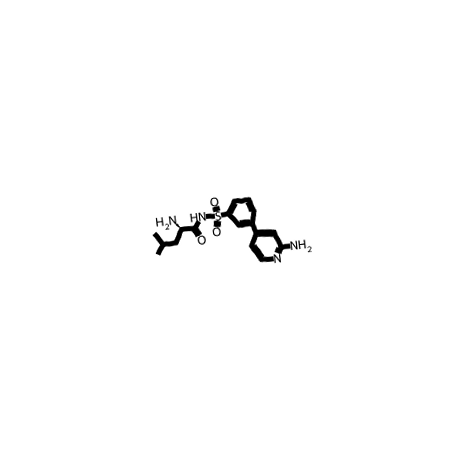 CC(C)C[C@H](N)C(=O)NS(=O)(=O)c1cccc(-c2ccnc(N)c2)c1